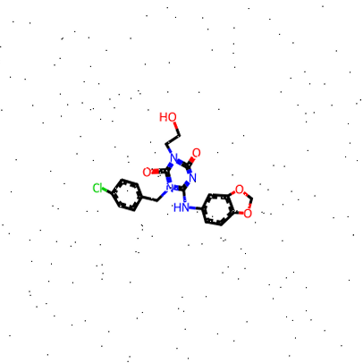 O=c1nc(Nc2ccc3c(c2)OCO3)n(Cc2ccc(Cl)cc2)c(=O)n1CCO